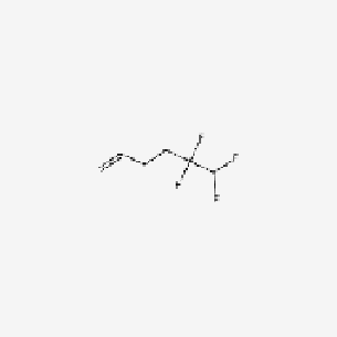 C=CCCC(F)(F)C(F)F